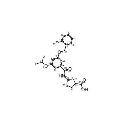 CC(C)Oc1cc(OCc2ccccc2F)cc(C(=O)NC2=NC(C(=O)O)CS2)c1